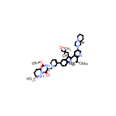 CCn1c(-c2cc(N3CCN4CCCC[C@@H]4C3)cnc2[C@H](C)OC)c(CC(C)(C)CO)c2cc(C3=CCCN(C[C@H](NC(=O)OC(C)(C)C)C(=O)N4CCC[C@@H](C(=O)O)N4)C3)ccc21